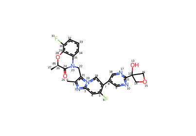 Cc1nc2cc(F)c(-c3cnc(C4(O)COC4)nc3)cn2c1CN1C(=O)[C@@H](C)Oc2c(F)cccc21